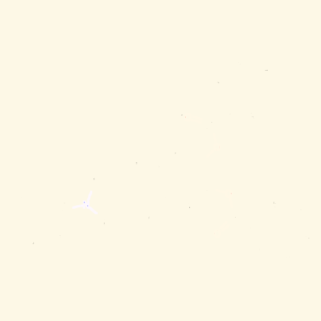 O=C(OC1CC2CC3CN(c4ccccc4)CC3CC2CC1OC(=O)c1ccccc1)c1ccccc1